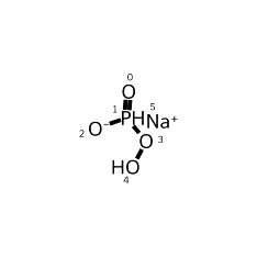 O=[PH]([O-])OO.[Na+]